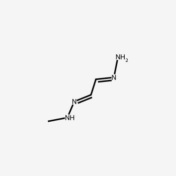 CN/N=C/C=N/N